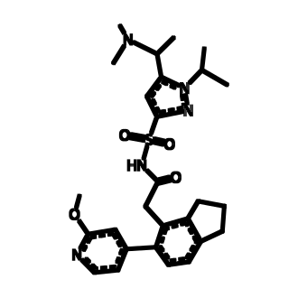 COc1cc(-c2ccc3c(c2CC(=O)NS(=O)(=O)c2cc(C(C)N(C)C)n(C(C)C)n2)CCC3)ccn1